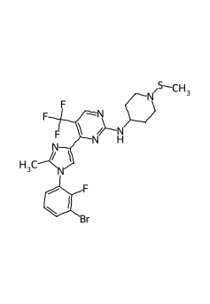 CSN1CCC(Nc2ncc(C(F)(F)F)c(-c3cn(-c4cccc(Br)c4F)c(C)n3)n2)CC1